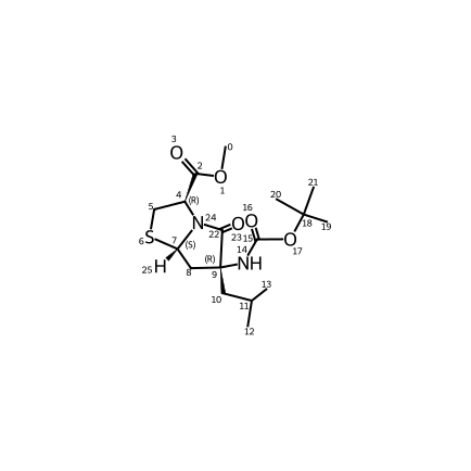 COC(=O)[C@@H]1CS[C@H]2C[C@@](CC(C)C)(NC(=O)OC(C)(C)C)C(=O)N21